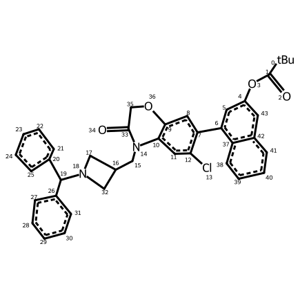 CC(C)(C)C(=O)Oc1cc(-c2cc3c(cc2Cl)N(CC2CN(C(c4ccccc4)c4ccccc4)C2)C(=O)CO3)c2ccccc2c1